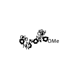 COc1ccc(N(C(=O)OC(C)(C)C)c2nc3cc(N(C)c4ccnc(N(C)c5cccc(S(C)(=O)=O)c5)n4)ccc3n2C)cc1